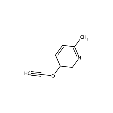 C#COC1C=CC(C)=NC1